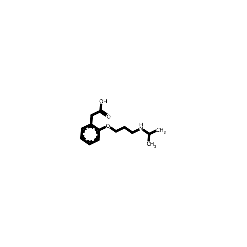 CC(C)NCCCOc1ccccc1CC(=O)O